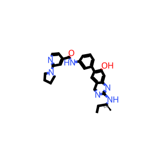 CC[C@H](C)Nc1ncc2cc(-c3cccc(NC(=O)c4ccnc(N5CCCC5)c4)c3)c(O)cc2n1